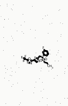 CCCS(=O)(=O)N(Cc1ncc(-c2nnc(C(F)(F)F)o2)s1)c1cccc(F)c1